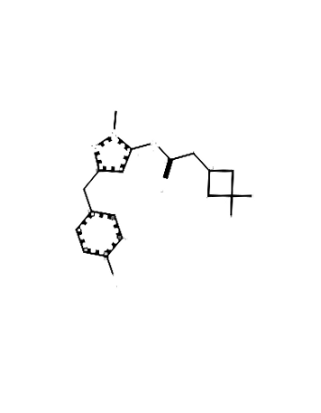 Cn1nc(Cc2ccc(F)cc2)cc1NC(=O)CC1CC(F)(F)C1